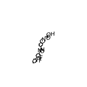 O=C(O)CN1CCc2ccc(-c3noc(-c4ccc(-c5ccccc5)c(C(F)(F)F)c4)n3)cc2CC1